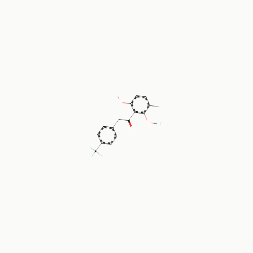 COc1ccc(Br)c(OC)c1C(=O)Cc1ccc(C(F)(F)F)cc1